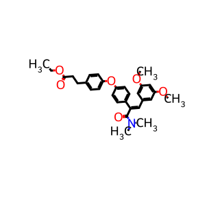 CCOC(=O)CCc1ccc(Oc2ccc(/C(=C\c3cc(OC)cc(OC)c3)C(=O)N(C)C)cc2)cc1